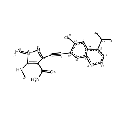 CNC1=C(C(N)=O)C(C#Cc2cc3nncc(C(C)C)c3cc2Cl)=N/[N+]1=[SH]/C